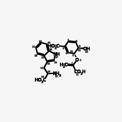 C=C(O[C@@H]1C=C(C(=O)O)C=C[C@H]1O)C(=O)O.NC(Cc1c[nH]c2ccccc12)C(=O)O